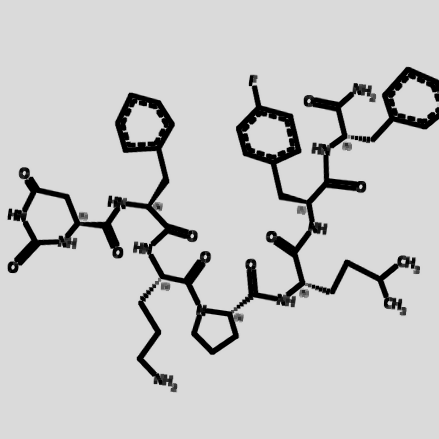 CC(C)CC[C@H](NC(=O)[C@@H]1CCCN1C(=O)[C@H](CCCN)NC(=O)[C@H](Cc1ccccc1)NC(=O)[C@@H]1CC(=O)NC(=O)N1)C(=O)N[C@@H](Cc1ccc(F)cc1)C(=O)N[C@@H](Cc1ccccc1)C(N)=O